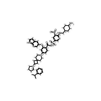 CC(C)c1ccccc1[C@@H]1CCCN1C1CC2(CCN(c3ccc(C(=O)NS(=O)(=O)c4cnc(NCC5CCC(N)CC5)c([N+](=O)[O-])c4)c(Oc4cnc5[nH]ccc5c4)c3)CC2)C1